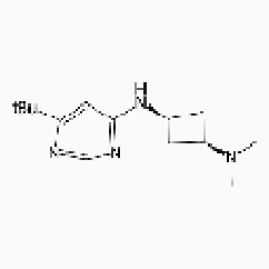 CN(C)[C@H]1C[C@@H](Nc2cc(C(C)(C)C)ncn2)C1